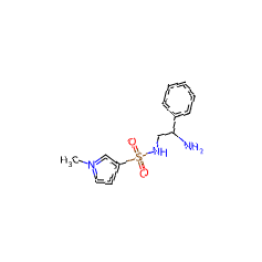 Cn1ccc(S(=O)(=O)NCC(N)c2ccccc2)c1